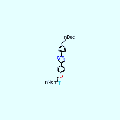 CCCCCCCCCCCCc1ccc(-c2ncc(-c3ccc(OCC(F)CCCCCCCCC)cc3)cn2)cc1